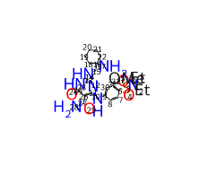 CCN(CC)S(=O)(=O)c1ccc(Nc2nc(NCC3(N)CCCCC3)[nH]c(=O)c2C(N)=O)cc1OC